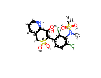 CCN(c1c(Cl)ccc(C2=C(O)c3ncccc3CS2(=O)=O)c1Cl)S(C)(=O)=O